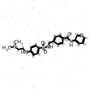 CN(C)CCNc1ccc(S(=O)(=O)NCc2ccc(C(=O)Nc3cccnc3)cc2)cc1